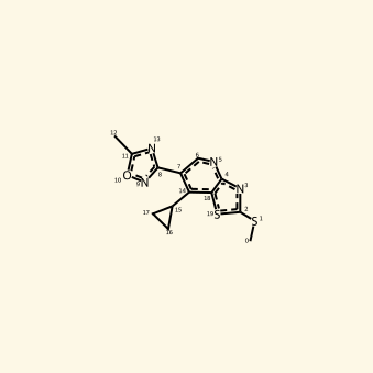 CSc1nc2ncc(-c3noc(C)n3)c(C3CC3)c2s1